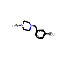 CCCN1CCN(Cc2cccc(C(C)CC)c2)CC1